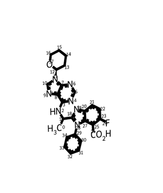 CC(Nc1ncnc2c1ncn2[C@@H]1CCCCO1)c1nc2ccc(F)c(C(=O)O)c2n1-c1ccccc1